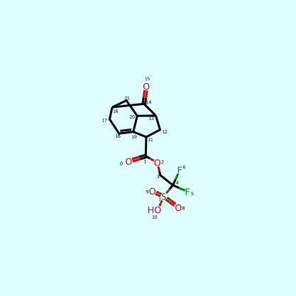 O=C(OCC(F)(F)S(=O)(=O)O)C1CC2C(=O)C3CC=C1C2C3